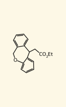 CCOC(=O)CC1c2ccccc2COc2ccccc21